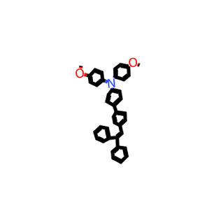 COc1ccc(N(c2ccc(OC)cc2)c2ccc(-c3ccc(C=C(c4ccccc4)c4ccccc4)cc3)cc2)cc1